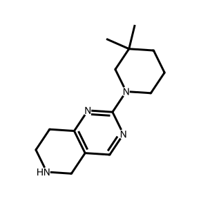 CC1(C)CCCN(c2ncc3c(n2)CCNC3)C1